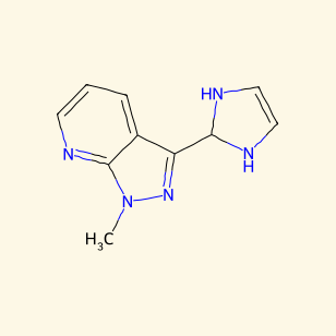 Cn1nc(C2NC=CN2)c2cccnc21